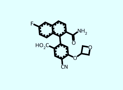 N#Cc1cc(C(=O)O)c(-c2c(C(N)=O)ccc3cc(F)ccc23)cc1OC1COC1